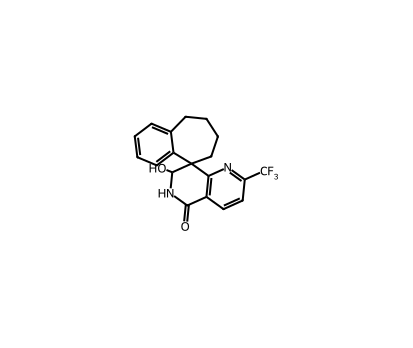 O=C1NC(O)C2(CCCCc3ccccc32)c2nc(C(F)(F)F)ccc21